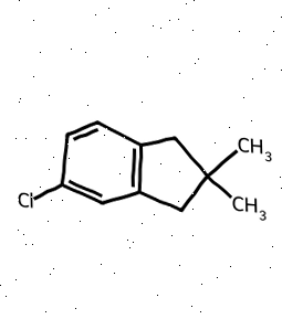 CC1(C)Cc2ccc(Cl)cc2C1